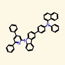 c1ccc(-c2cc(-c3ccccc3)nc(-n3c4ccccc4c4cc(-c5ccc(N(c6ccccc6)c6cccc7ccccc67)cc5)ccc43)c2)cc1